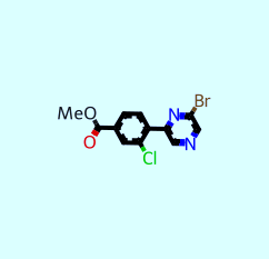 COC(=O)c1ccc(-c2cncc(Br)n2)c(Cl)c1